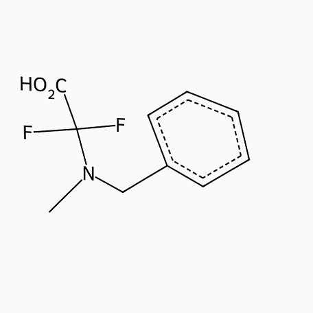 CN(Cc1ccccc1)C(F)(F)C(=O)O